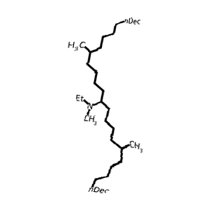 CCCCCCCCCCCCCCC(C)CCCCC(CCCCC(C)CCCCCCCCCCCCCC)N(C)CC